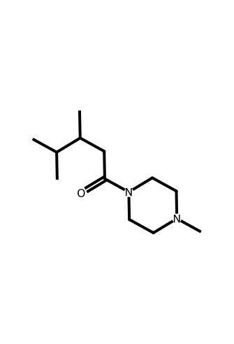 CC(C)C(C)CC(=O)N1CCN(C)CC1